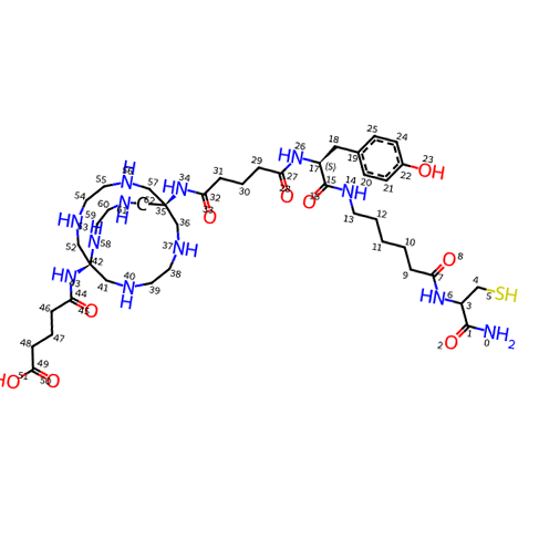 NC(=O)C(CS)NC(=O)CCCCCNC(=O)[C@H](Cc1ccc(O)cc1)NC(=O)CCCC(=O)N[C@]12CNCCNC[C@](NC(=O)CCCC(=O)O)(CNCCNC1)NCCNC2